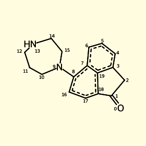 O=C1Cc2cccc3c(N4CCCNCC4)ccc1c23